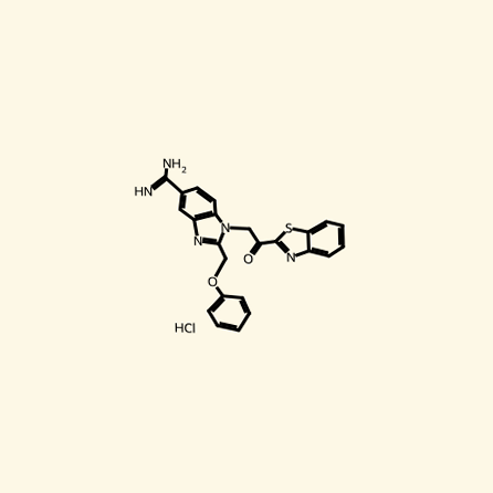 Cl.N=C(N)c1ccc2c(c1)nc(COc1ccccc1)n2CC(=O)c1nc2ccccc2s1